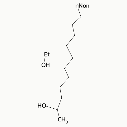 CCCCCCCCCCCCCCCCCCC(C)O.CCO